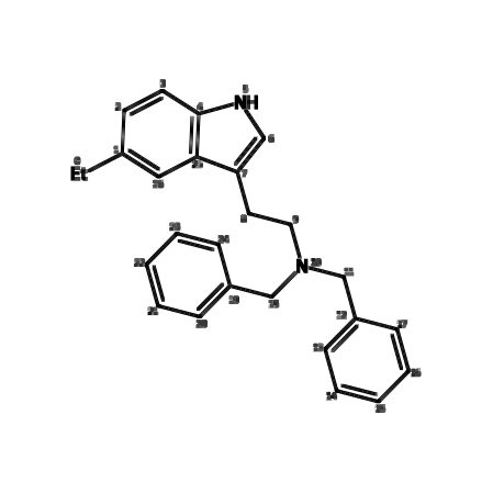 [CH2]Cc1ccc2[nH]cc(CCN(Cc3ccccc3)Cc3ccccc3)c2c1